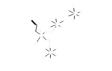 C=CC[PH](CCCC)(CCCC)CCCC.F[P-](F)(F)(F)(F)F.F[P-](F)(F)(F)(F)F.F[P-](F)(F)(F)(F)F.[Eu+3]